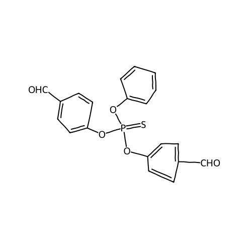 O=Cc1ccc(OP(=S)(Oc2ccccc2)Oc2ccc(C=O)cc2)cc1